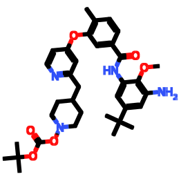 COc1c(N)cc(C(C)(C)C)cc1NC(=O)c1ccc(C)c(Oc2ccnc(CC3CCN(OC(=O)OC(C)(C)C)CC3)c2)c1